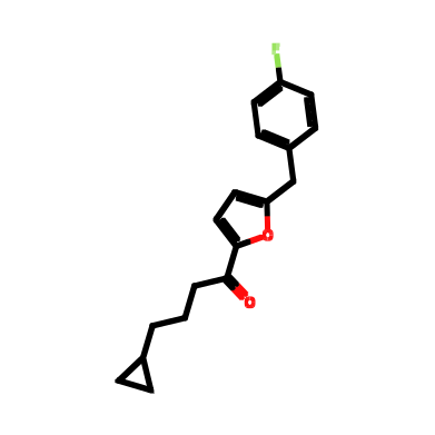 O=C(CCCC1CC1)c1ccc(Cc2ccc(F)cc2)o1